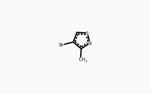 Cc1ns[c]c1Br